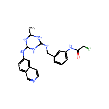 CNC1NC(NCc2cccc(NC(=O)CCl)c2)NC(Nc2ccc3cnccc3c2)N1